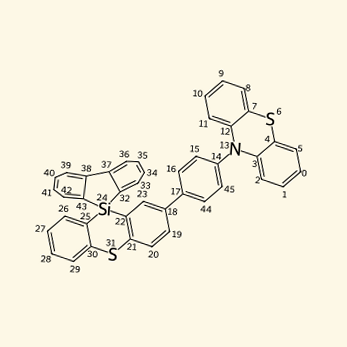 c1ccc2c(c1)Sc1ccccc1N2c1ccc(-c2ccc3c(c2)[Si]2(c4ccccc4S3)c3ccccc3-c3ccccc32)cc1